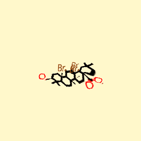 COC(=O)[C@]12CCC(C)(C)CC1(Br)C1=C(Br)C(Br)C3[C@@]4(C)CC[C@H](C=O)C(C)(C)C4CC[C@@]3(C)[C@]1(C)CC2